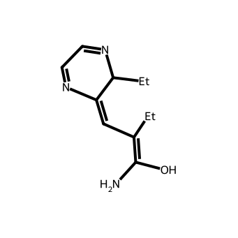 CCC(/C=C1/N=CC=NC1CC)=C(/N)O